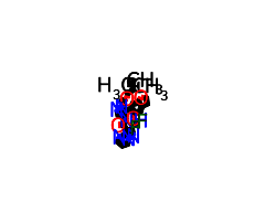 C[Si](C)(C)CCOCn1ncc(NC(=O)c2cnn3cccnc23)c1-c1cc2c(cc1OC(F)F)CCO2